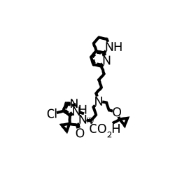 Cn1ncc(Cl)c1C1(C(=O)N[C@@H](CCN(CCCCc2ccc3c(n2)NCCC3)CCOC2(C)CC2)C(=O)O)CC1